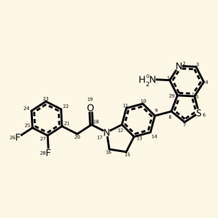 Nc1nccc2scc(-c3ccc4c(c3)CCN4C(=O)Cc3cccc(F)c3F)c12